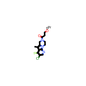 CCCOCCC(=O)N1CCn2c(c(C)c3c(F)c(Cl)cnc32)C1